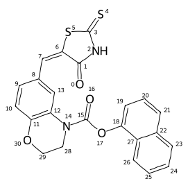 O=C1NC(=S)SC1=Cc1ccc2c(c1)N(C(=O)Oc1cccc3ccccc13)CCO2